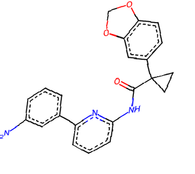 Nc1cccc(-c2cccc(NC(=O)C3(c4ccc5c(c4)OCO5)CC3)n2)c1